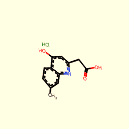 Cc1ccc2c(O)cc(CC(=O)O)nc2c1.Cl